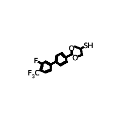 Fc1cc(-c2ccc(C3OCC(S)CO3)cc2)ccc1C(F)(F)F